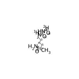 [1H]N(CCCCC(C)C(N)=O)C(=O)NC([2H])=O